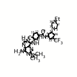 CCN1CCN(c2cc(NC(=O)c3ccc(C)c(Nc4ncnc5c(N)nc(N(C)C)nc45)c3)cc(C(F)(F)F)c2)CC1